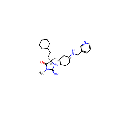 CN1C(=N)N[C@](CCC2CCCCC2)(C[C@H]2CCC[C@H](NCc3cccnc3)C2)C1=O